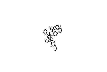 CC1(C)c2ccccc2-c2ccc(-c3nc(-c4ccccc4)nc(-n4c5ccccc5c5c6sc7ccccc7c6ccc54)n3)cc21